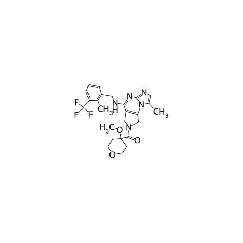 COC1(C(=O)N2Cc3c(NCc4cccc(C(F)(F)F)c4C)nc4ncc(C)n4c3C2)CCOCC1